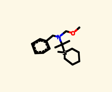 COCN(Cc1ccccc1)C(C)(C)[Si]1(C)CCCCC1